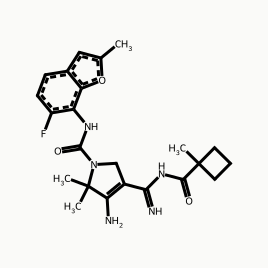 Cc1cc2ccc(F)c(NC(=O)N3CC(C(=N)NC(=O)C4(C)CCC4)=C(N)C3(C)C)c2o1